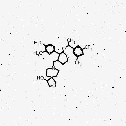 Cc1ccc(C2C(CN3CCC4(CC3)COCC4O)CCOC2OC(C)c2cc(C(F)(F)F)cc(C(F)(F)F)c2)cc1C